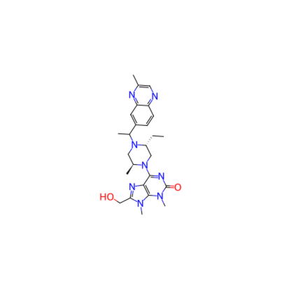 CC[C@@H]1CN(c2nc(=O)n(C)c3c2nc(CO)n3C)[C@@H](C)CN1C(C)c1ccc2ncc(C)nc2c1